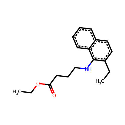 CCOC(=O)CCCNc1c(CC)ccc2ccccc12